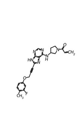 C=CC(=O)N1CCC(Nc2ncnc3[nH]c(C#CCOc4ccc(C)c(F)c4)nc23)C1